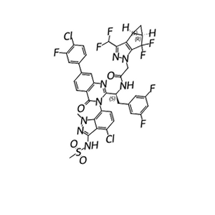 Cn1nc(NS(C)(=O)=O)c2c(Cl)ccc(-n3c([C@H](Cc4cc(F)cc(F)c4)NC(=O)Cn4nc(C(F)F)c5c4C(F)(F)[C@@H]4C[C@H]54)nc4cc(-c5ccc(Cl)c(F)c5)ccc4c3=O)c21